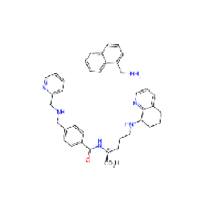 NCc1cccc2ccccc12.O=C(N[C@@H](CCCNC1CCCc2cccnc21)C(=O)O)c1ccc(CNCc2ccccn2)cc1